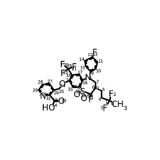 CC(F)(F)CC[C@@H]1CN(c2ccc(F)cc2)c2cc(C(F)(F)F)c(OCc3cccnc3C(=O)O)cc2S(=O)(=O)[C@@H]1F